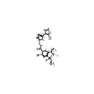 C=CC(F)(F)c1cc(F)c(NCSc2c[nH]c(-c3ccoc3Cl)c2)cc1C(=C)C